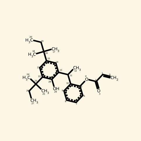 C=CC(=O)Oc1ccccc1C(C)c1cc(C(C)(C)CC)cc(C(C)(C)CC)c1O